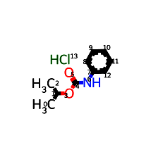 CC(C)OC(=O)Nc1ccccc1.Cl